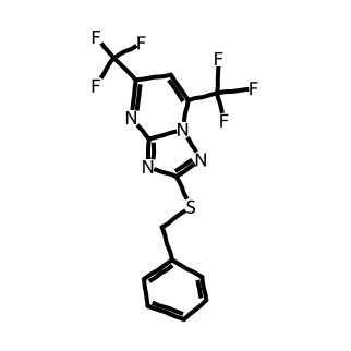 FC(F)(F)c1cc(C(F)(F)F)n2nc(SCc3ccccc3)nc2n1